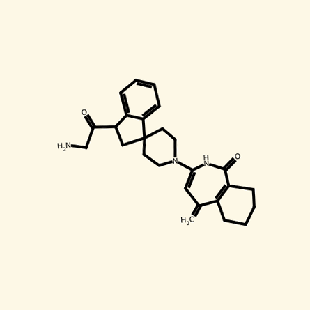 C=C1C=C(N2CCC3(CC2)CC(C(=O)CN)c2ccccc23)NC(=O)C2=C1CCCC2